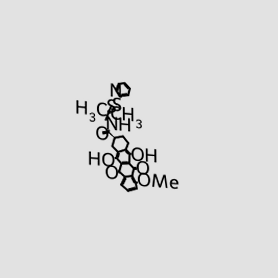 COc1cccc2c1C(=O)c1c(O)c3c(c(O)c1C2=O)C[C@@H](C(=O)NCC(C)(C)SSc1ccccn1)CC3